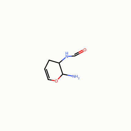 NC1OC=CCC1NC=O